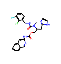 CN(C(=O)NCc1cccc(F)c1Cl)C(COC(=O)Nc1cc2ccccc2cn1)Cc1ncc[nH]1